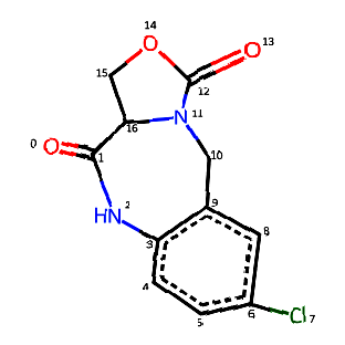 O=C1Nc2ccc(Cl)cc2CN2C(=O)OCC12